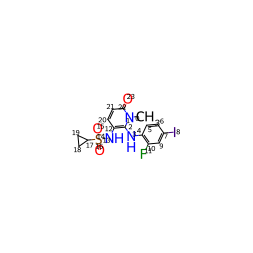 Cn1c(Nc2ccc(I)cc2F)c(NS(=O)(=O)C2CC2)ccc1=O